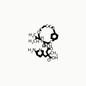 CC(C)[C@H]1COCCCCOc2ccc(cc2)C[C@@H](NC(=O)C[C@@](C)(Cc2ccc(N)nc2)C(=O)O)C(=O)N1